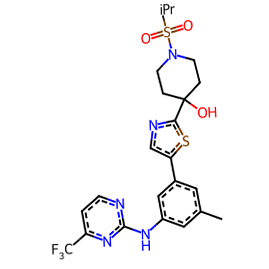 Cc1cc(Nc2nccc(C(F)(F)F)n2)cc(-c2cnc(C3(O)CCN(S(=O)(=O)C(C)C)CC3)s2)c1